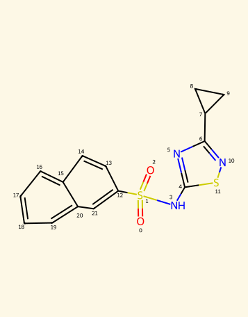 O=S(=O)(Nc1nc(C2CC2)ns1)c1ccc2ccccc2c1